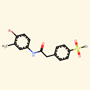 CCS(=O)(=O)c1ccc(CC(=O)Nc2ccc(Br)c(C)c2)cc1